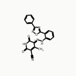 CC1=C(C#N)C(=O)NC(=O)/C1=N/Nc1ccccc1-c1nc(-c2ccccc2)no1